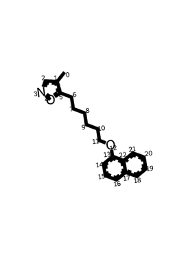 Cc1cnoc1CCCCCCOc1cccc2ccccc12